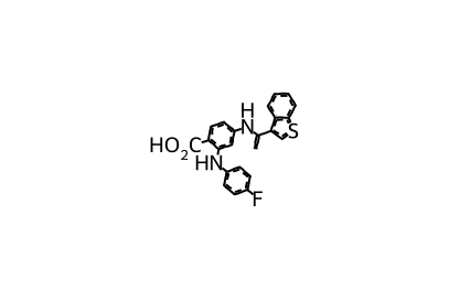 C=C(Nc1ccc(C(=O)O)c(Nc2ccc(F)cc2)c1)c1csc2ccccc12